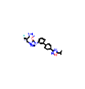 CC(C)c1nc(-c2ccc(-c3cccc(-n4cnn(C/C(=C/F)CN)c4=O)c3)cc2)no1